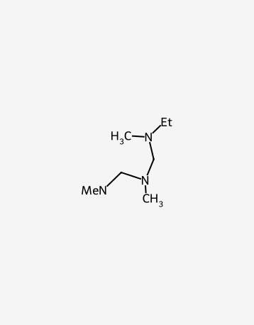 CCN(C)CN(C)CNC